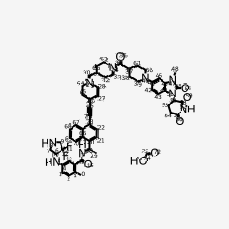 Cc1ccc(N[C@@H]2CNCC2(F)F)cc1C(=O)N[C@H](C)c1ccc(C#CC2CCN(CC3CCN(C(=O)C4CCN(c5ccc6c(c5)n(C)c(=O)n6C5CCC(=O)NC5=O)CC4)CC3)CC2)c2ccccc12.O=CO